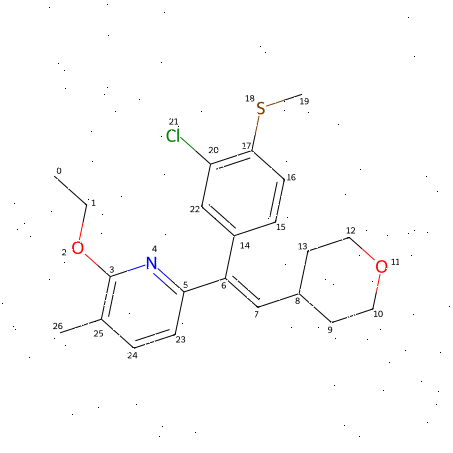 CCOc1nc(/C(=C/C2CCOCC2)c2ccc(SC)c(Cl)c2)ccc1C